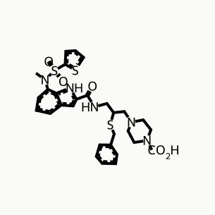 CN(c1cccc2cc(C(=O)NCC(CN3CCN(C(=O)O)CC3)SCc3ccccc3)[nH]c12)S(=O)(=O)c1cccs1